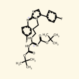 CC(C)(C)OC(=O)/N=C(\NCCCn1c(-c2ccc(F)cc2)cs/c1=N/c1ccc(F)cc1)NC(=O)OC(C)(C)C